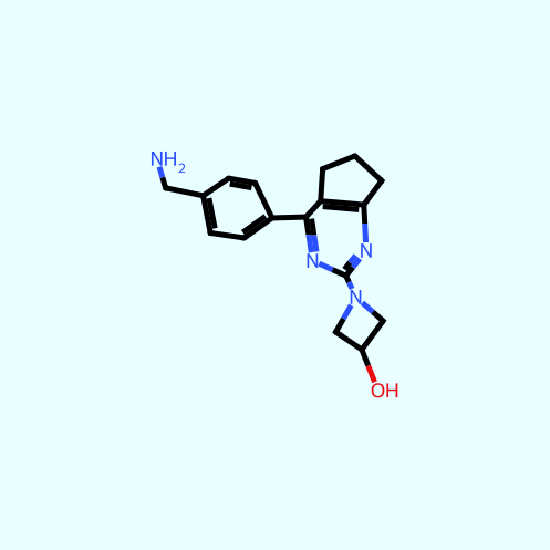 NCc1ccc(-c2nc(N3CC(O)C3)nc3c2CCC3)cc1